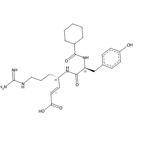 N=C(N)NCCC[C@@H](/C=C/C(=O)O)NC(=O)[C@H](Cc1ccc(O)cc1)NC(=O)C1CCCCC1